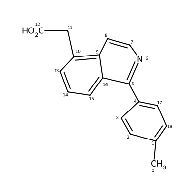 Cc1ccc(-c2nccc3c(CC(=O)O)cccc23)cc1